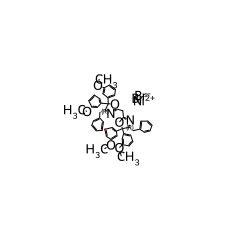 COc1cccc(C2(c3cccc(OC)c3)OC(CC3=N[C@H](Cc4ccccc4)C(c4cccc(OC)c4)(c4cccc(OC)c4)O3)=N[C@@H]2Cc2ccccc2)c1.[Br-].[Br-].[Ni+2]